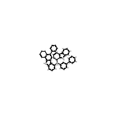 C1=Cc2c(c(-c3ccccc3)cc3c2oc2cccc(N(c4cccc(-c5ccccc5)c4)C4CC=Cc5c4oc4ccccc54)c23)CC1